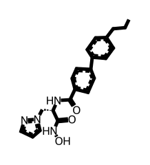 CCCc1ccc(-c2ccc(C(=O)N[C@@H](Cn3cccn3)C(=O)NO)cc2)cc1